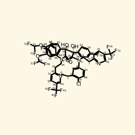 CCc1cc(N(CCc2ccc(C(F)(F)F)cn2)C(=O)[C@](O)(c2ccc(F)cc2)[C@@](O)(C(=O)N(CCc2ccc(C(F)(F)F)cn2)c2ccc(OC(F)F)c(OC(F)F)c2)c2ccc(F)cc2)ccc1Cl